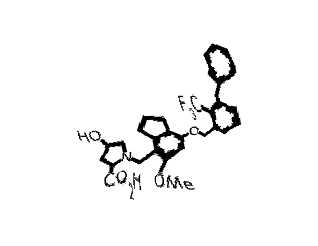 COc1cc(OCc2cccc(-c3ccccc3)c2C(F)(F)F)c2c(c1CN1CC(O)CC1C(=O)O)CCC2